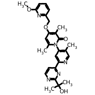 COc1cccc(COc2cc(C)n(-c3cc(-c4ccnc(C(C)(C)O)n4)ncc3C)c(=O)c2C)n1